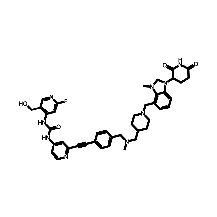 CN(Cc1ccc(C#Cc2cc(NC(=O)Nc3cc(F)ncc3CO)ccn2)cc1)CC1CCN(Cc2cccc3c2N(C)CN3C2CCC(=O)NC2=O)CC1